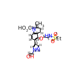 CCS(=O)(=O)NCCOc1c(-c2cnn(CCO)c2)ccc2c1CC[C@H](C)N2C(=O)O